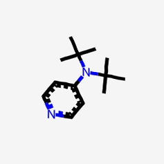 CC(C)(C)N(c1ccncc1)C(C)(C)C